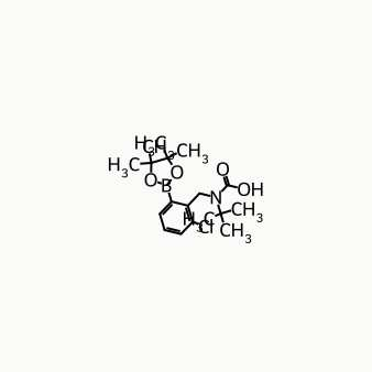 CC(C)(C)N(Cc1c(Cl)cccc1B1OC(C)(C)C(C)(C)O1)C(=O)O